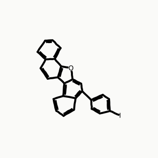 Ic1ccc(-c2cc3oc4c5ccccc5ccc4c3c3ccccc23)cc1